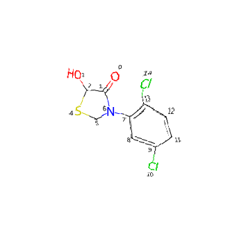 O=C1C(O)SCN1c1cc(Cl)ccc1Cl